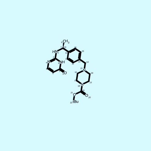 C[C@H](Nc1nccc(=O)[nH]1)c1ccc(CN2CCN(C(=O)OC(C)(C)C)CC2)cc1